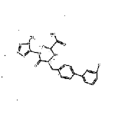 C[C@H](N[C@@H](Cc1ccc(-c2cccc(Cl)c2)cc1)C(=O)Nc1nnnn1C)C(=O)O